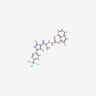 Cc1nn(-c2ccc(C(F)(F)F)cc2)c(C)c1NC(O)COC(=O)Cn1c(C)cc2ccccc21